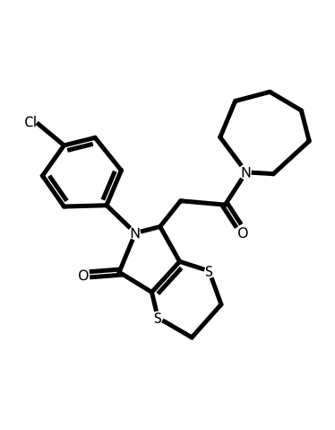 O=C(CC1C2=C(SCCS2)C(=O)N1c1ccc(Cl)cc1)N1CCCCCC1